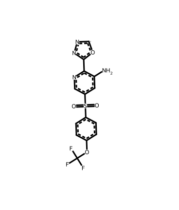 Nc1cc(S(=O)(=O)c2ccc(OC(F)(F)F)cc2)cnc1-c1nn[c]o1